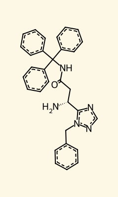 N[C@H](CC(=O)NC(c1ccccc1)(c1ccccc1)c1ccccc1)c1ncnn1Cc1ccccc1